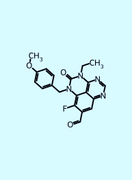 CCN1C(=O)N(Cc2ccc(OC)cc2)c2c(F)c(C=O)cc3ncnc1c23